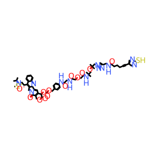 CC(C)N(CCc1c2c(nc3ccccc13)-c1cc3c(c(=O)n1C2)COC(=O)C3OC(=O)OCc1ccc(NC(=O)CNC(=O)COCC(=O)NC(C)(C)COC(C)(C)Cn2cc(CNC(=O)CCCC#Cc3cnc(S)nc3)nn2)cc1)[S+](C)[O-]